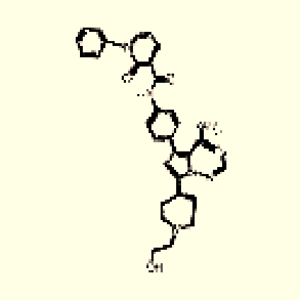 Nc1ncnn2c(C3CCN(CCO)CC3)cc(-c3ccc(NC(=O)c4cccn(-c5ccccc5)c4=O)cc3)c12